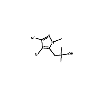 Cn1nc(C#N)c(Br)c1CC(C)(C)O